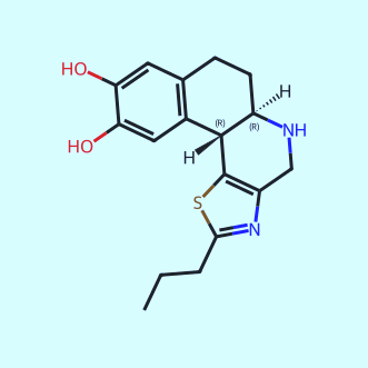 CCCc1nc2c(s1)[C@@H]1c3cc(O)c(O)cc3CC[C@H]1NC2